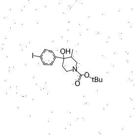 CC1CN(C(=O)OC(C)(C)C)CCC1(O)c1ccc(I)cc1